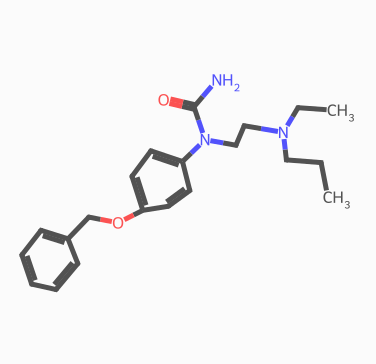 CCCN(CC)CCN(C(N)=O)c1ccc(OCc2ccccc2)cc1